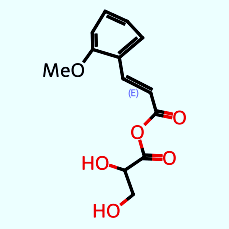 COc1ccccc1/C=C/C(=O)OC(=O)C(O)CO